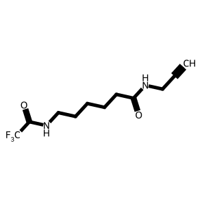 C#CCNC(=O)CCCCCNC(=O)C(F)(F)F